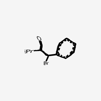 CC(C)C(=O)C(Br)c1ccccc1